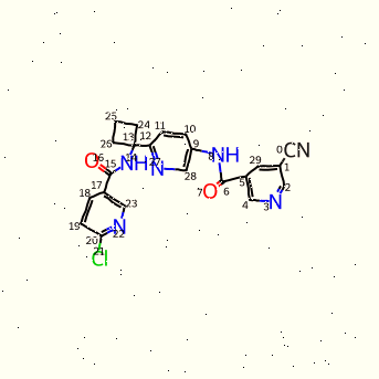 N#Cc1cncc(C(=O)Nc2ccc(C3(NC(=O)c4ccc(Cl)nc4)CCC3)nc2)c1